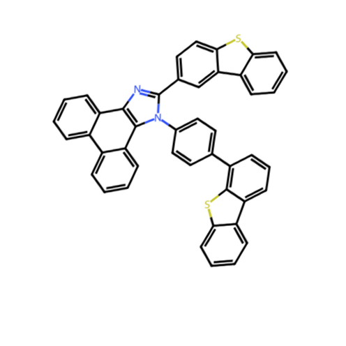 c1ccc2c(c1)sc1ccc(-c3nc4c5ccccc5c5ccccc5c4n3-c3ccc(-c4cccc5c4sc4ccccc45)cc3)cc12